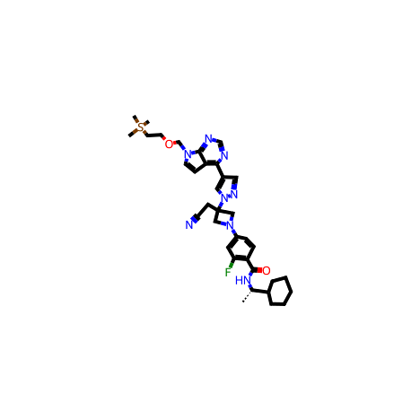 C[C@H](NC(=O)c1ccc(N2CC(CC#N)(n3cc(-c4ncnc5c4ccn5COCCS(C)(C)C)cn3)C2)cc1F)C1CCCCC1